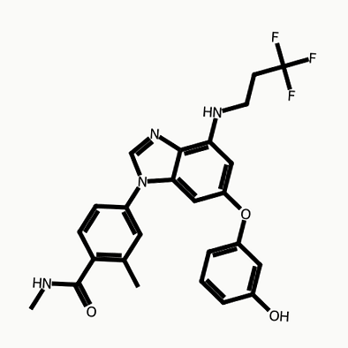 CNC(=O)c1ccc(-n2cnc3c(NCCC(F)(F)F)cc(Oc4cccc(O)c4)cc32)cc1C